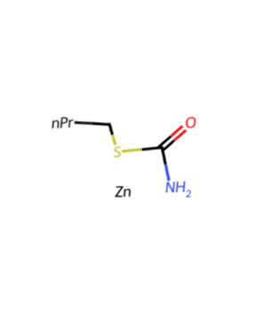 CCCCSC(N)=O.[Zn]